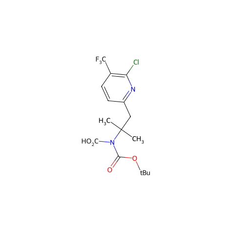 CC(C)(C)OC(=O)N(C(=O)O)C(C)(C)Cc1ccc(C(F)(F)F)c(Cl)n1